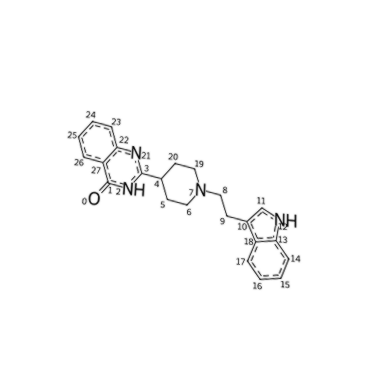 O=c1[nH]c(C2CCN(CCc3c[nH]c4ccccc34)CC2)nc2ccccc12